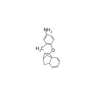 Cc1cc(N)ccc1OC1=CC2CC3C=CC=CC13C2